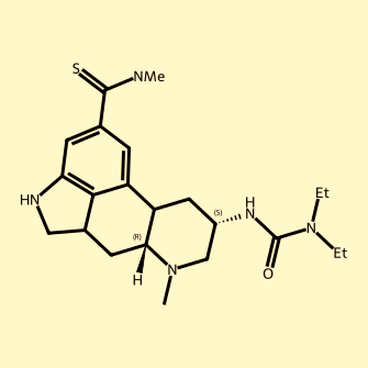 CCN(CC)C(=O)N[C@H]1CC2c3cc(C(=S)NC)cc4c3C(CN4)C[C@H]2N(C)C1